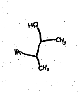 CC(C)C(C)C(C)O